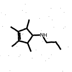 CCCNC1C(C)C(C)=C(C)C1C